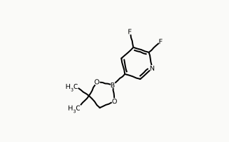 CC1(C)COB(c2cnc(F)c(F)c2)O1